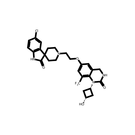 O=C1NCc2cc(OCCN3CCC4(CC3)C(=O)Nc3ccc(Cl)cc34)cc(C(F)(F)F)c2N1[C@H]1C[C@@H](O)C1